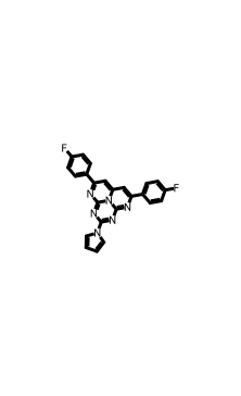 Fc1ccc(C2=CC3=CC(c4ccc(F)cc4)=NC4=NC(n5cccc5)=NC(=N2)N34)cc1